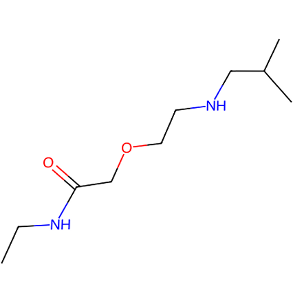 CCNC(=O)COCCNCC(C)C